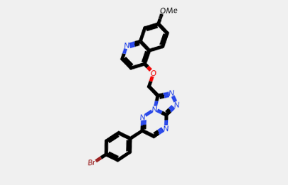 COc1ccc2c(OCc3nnc4ncc(-c5ccc(Br)cc5)nn34)ccnc2c1